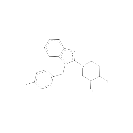 NC1CN(c2nc3ccccc3n2Cc2ccc(F)cn2)CCC1F